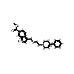 COC(=O)c1ccc2c(CSCCN3CC=C(c4ccccc4)CC3)c[nH]c2c1